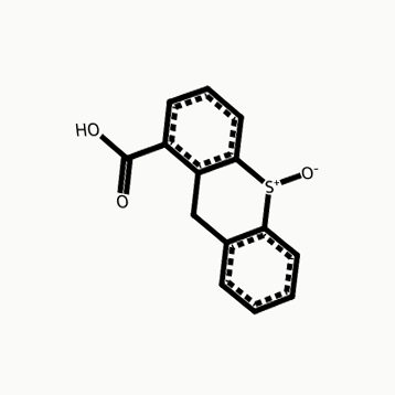 O=C(O)c1cccc2c1Cc1ccccc1[S+]2[O-]